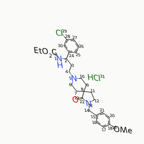 CCOC(=O)NC(CCN1CCC2(CC1)CCN(Cc1ccc(OC)cc1)C2=O)c1cccc(Cl)c1.Cl